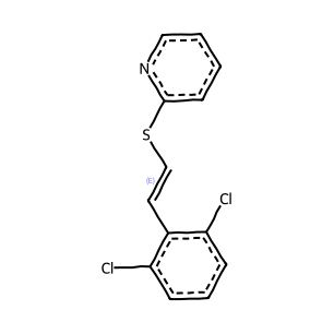 Clc1cccc(Cl)c1/C=C/Sc1ccccn1